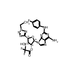 CCn1nnc([C@H]2O[C@@H](n3cnc4c(N)nc(Nc5ccc(F)cc5)nc43)[C@H](OC(=O)C(F)(F)F)[C@@H]2O)n1